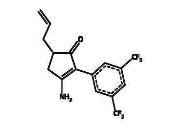 C=CCC1CC(N)=C(c2cc(C(F)(F)F)cc(C(F)(F)F)c2)C1=O